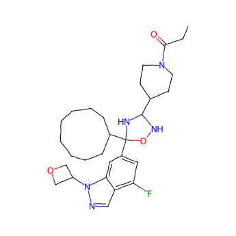 CCC(=O)N1CCC(C2NOC(c3cc(F)c4cnn(C5COC5)c4c3)(C3CCCCCCCC3)N2)CC1